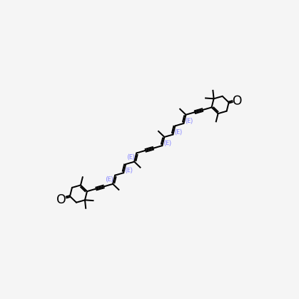 CC1=C(C#C/C(C)=C/C=C/C(C)=C/C#C/C=C(C)/C=C/C=C(\C)C#CC2=C(C)CC(=O)CC2(C)C)C(C)(C)CC(=O)C1